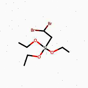 CCO[Si](CC(Br)Br)(OCC)OCC